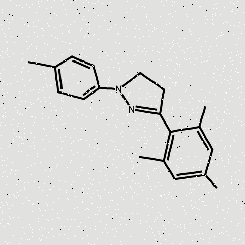 Cc1ccc(N2CCC(c3c(C)cc(C)cc3C)=N2)cc1